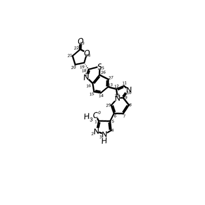 Cc1n[nH]cc1-c1ccc2ncc(-c3ccc4nc([C@@H]5CCC(=O)O5)sc4c3)n2c1